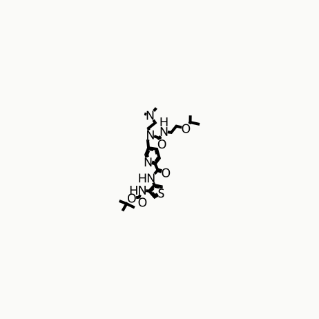 CC(C)OCCNC(=O)N(CCN(C)C)Cc1ccc(C(=O)Nc2cscc2NC(=O)OC(C)(C)C)nc1